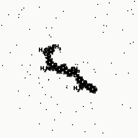 Cc1ccc(C(=O)OCc2ccc([C@@H](CN)C(=O)Nc3ccc4c(Cc5ccc(C(=O)OCc6ccc([C@@H](CN)C(=O)Nc7ccc8cnccc8c7)cc6)c(C)c5)nccc4c3)cc2)c(C)c1